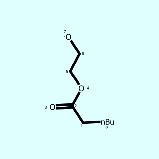 CCCCCC(=O)OCC[O]